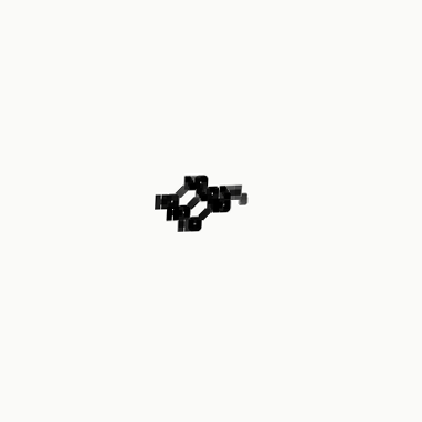 N.O=NO.O=NO.O=NO